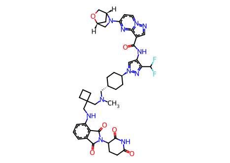 CN(CC1(CNc2cccc3c2C(=O)N(C2CCC(=O)NC2=O)C3=O)CCC1)C[C@H]1CC[C@H](n2cc(NC(=O)c3cnn4ccc(N5C[C@H]6C[C@@H]5CO6)nc34)c(C(F)F)n2)CC1